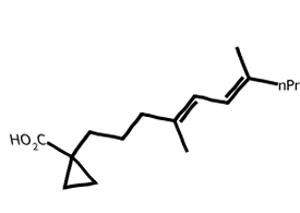 CCC/C(C)=C/C=C(\C)CCCC1(C(=O)O)CC1